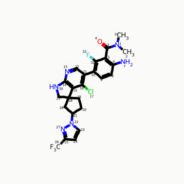 CN(C)C(=O)c1c(N)ccc(-c2cnc3c(c2Cl)C2(CCC(n4ccc(C(F)(F)F)n4)C2)CN3)c1F